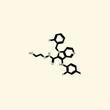 O=C(NOCCO)c1c(Nc2ccc(I)cc2F)c2cnccc2n1Cc1ccccc1F